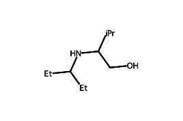 CCC(CC)NC(CO)C(C)C